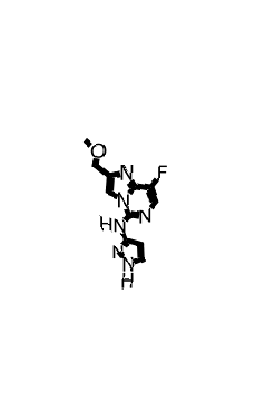 COCc1cn2c(Nc3cc[nH]n3)ncc(F)c2n1